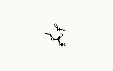 CCOC(N)=O.O=NO